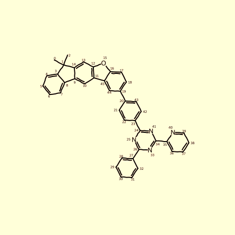 CC1(C)c2ccccc2-c2cc3c(cc21)oc1ccc(-c2ccc(-c4nc(-c5ccccc5)nc(-c5ccccn5)n4)cc2)cc13